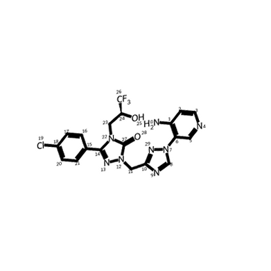 Nc1ccncc1-n1cnc(Cn2nc(-c3ccc(Cl)cc3)n(C[C@H](O)C(F)(F)F)c2=O)n1